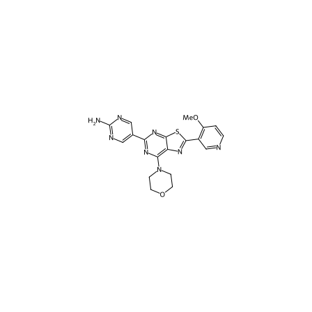 COc1ccncc1-c1nc2c(N3CCOCC3)nc(-c3cnc(N)nc3)nc2s1